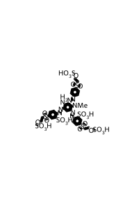 CNc1c(/N=N/c2ccc(S(=O)(=O)CCOS(=O)(=O)O)cc2S(=O)(=O)O)cc(/N=N/c2ccc(S(=O)(=O)CCOS(=O)(=O)O)cc2S(=O)(=O)O)c(N)c1/N=N/c1ccc(S(=O)(=O)CCOS(=O)(=O)O)cc1